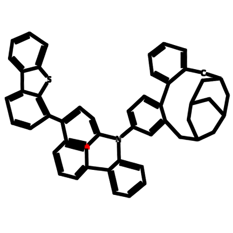 c1ccc(-c2ccccc2N(c2ccc(-c3cccc4c3sc3ccccc34)cc2)c2ccc3c(c2)CC2CC4CC(Cc5ccccc5-3)CC(C2)C4)cc1